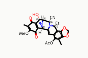 CC[C@H]1c2c(c(OC(C)=O)c(C)c3c2OCO3)C=C2[C@H]3C4=C(C(=O)C(C)=C(OC)C4=O)[C@H](O)[C@@H]([C@H](C#N)N21)N3C